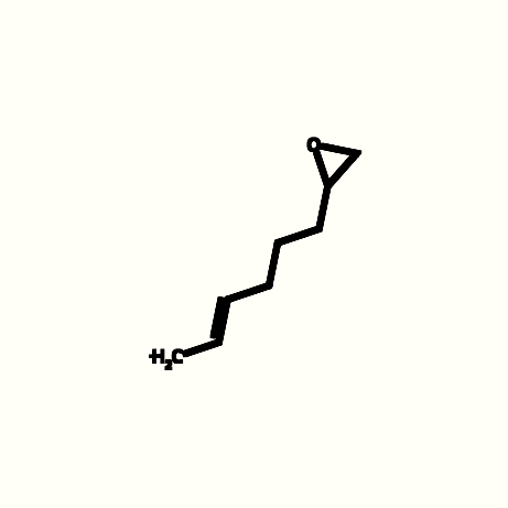 [CH2]/C=C/CCCC1CO1